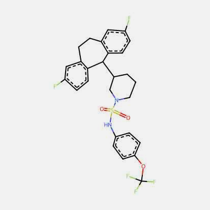 O=S(=O)(Nc1ccc(OC(F)(F)F)cc1)N1CCCC(C2c3ccc(F)cc3CCc3cc(F)ccc32)C1